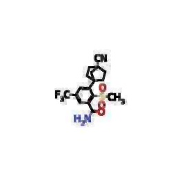 CS(=O)(=O)c1c(C(N)=O)cc(C(F)(F)F)cc1C12CCC(C#N)(CC1)C2